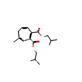 CC1=CC(C(=O)OCC(C)C)=C(C(=O)OCC(C)C)C=CC1